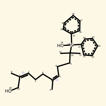 C/C(=C/CC/C(C)=C\CCC(C)(C)[Si](O)(c1ccccc1)c1ccccc1)CO